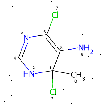 CC1(Cl)NC=NC(Cl)=C1N